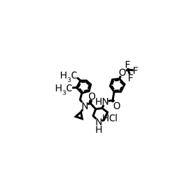 Cc1cccc(CN(C(=O)C2CNCCC2NC(=O)c2ccc(OC(F)(F)F)cc2)C2CC2)c1C.Cl